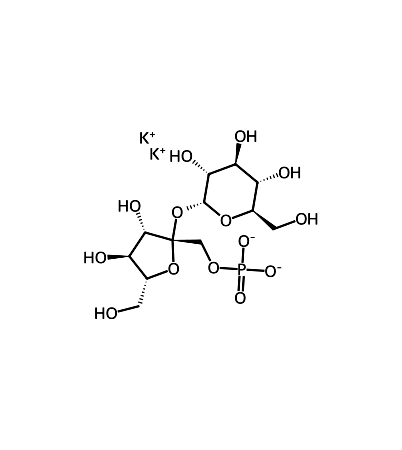 O=P([O-])([O-])OC[C@@]1(O[C@H]2O[C@H](CO)[C@@H](O)[C@H](O)[C@H]2O)O[C@H](CO)[C@@H](O)[C@@H]1O.[K+].[K+]